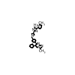 Cc1cccc(-c2nc(C3CN(Cc4ccc(-c5nc6ncc(C)n6cc5-c5ccccc5)cc4)C3)n[nH]2)n1